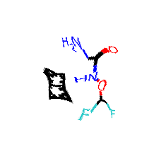 NC(=O)NOC(F)F.c1cc2ccc1-2